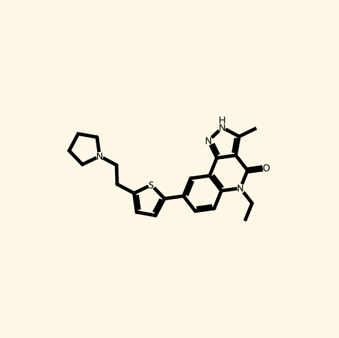 CCn1c(=O)c2c(C)[nH]nc2c2cc(-c3ccc(CCN4CCCC4)s3)ccc21